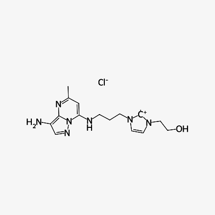 Cc1cc(NCCCN2[C+]N(CCO)C=C2)n2ncc(N)c2n1.[Cl-]